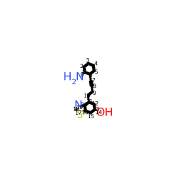 Nc1ccccc1C#CC=Cc1cc(O)cc2scnc12